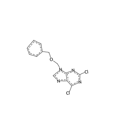 Clc1nc(Cl)c2ncn(COCc3ccccc3)c2n1